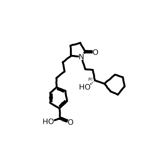 O=C(O)c1ccc(CCCC2CCC(=O)N2CC[C@@H](O)C2CCCCC2)cc1